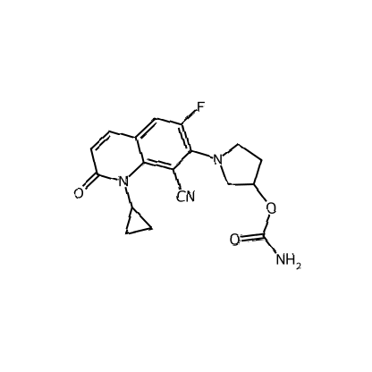 N#Cc1c(N2CCC(OC(N)=O)C2)c(F)cc2ccc(=O)n(C3CC3)c12